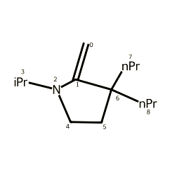 C=C1N(C(C)C)CCC1(CCC)CCC